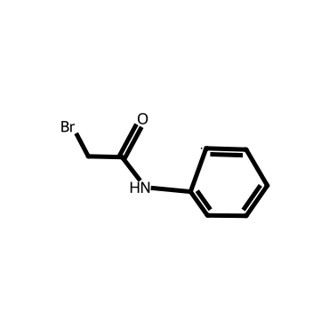 O=C(CBr)Nc1[c]cccc1